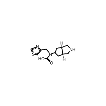 O=C(O)N(Cc1cscn1)C1C[C@H]2CNC[C@H]2C1